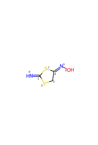 N=C1SCC(=NO)S1